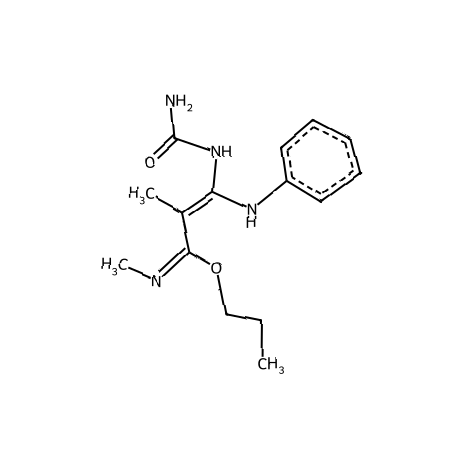 CCCOC(=N/C)/C(C)=C(/NC(N)=O)Nc1ccccc1